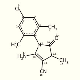 Cc1cc(Cl)cc(C)c1N1C(=O)C(C)C(C#N)=C1N